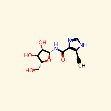 C#Cc1[nH]cnc1C(=O)N[C@@H]1O[C@H](CO)[C@@H](O)[C@H]1O